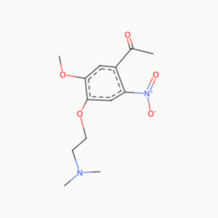 COc1cc(C(C)=O)c([N+](=O)[O-])cc1OCCN(C)C